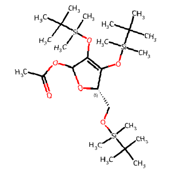 CC(=O)OC1O[C@@H](CO[Si](C)(C)C(C)(C)C)C(O[Si](C)(C)C(C)(C)C)=C1O[Si](C)(C)C(C)(C)C